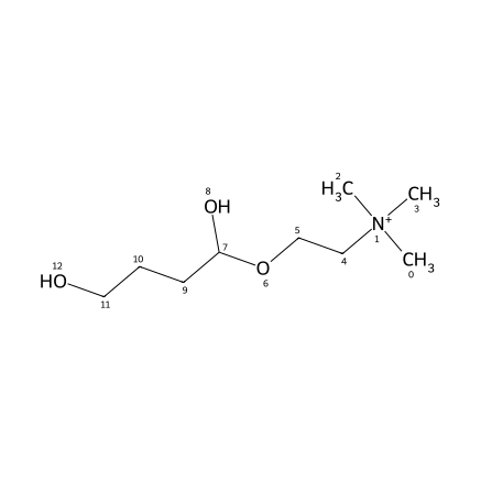 C[N+](C)(C)CCOC(O)CCCO